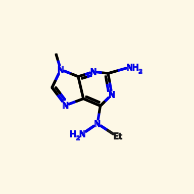 CCN(N)c1nc(N)nc2c1ncn2C